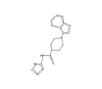 O=C(Nc1ccon1)C1CCN(c2csc3ccccc23)CC1